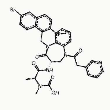 COc1ccc2cc(Br)ccc2c1CN1C(=O)[C@@H](NC(=O)[C@H](C)N(C)C(=O)O)CN(C(=O)Cc2cccnc2)c2ccccc21